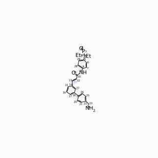 CCC(CC)(P=O)c1ccc(NC(=O)/C=C/c2cccc(-c3ccc(CN)cc3)c2)cc1